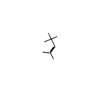 CCCCCC(Cl)(Cl)/C=C(\C)C(=O)O